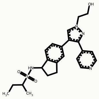 CCC(C)S(=O)(=O)NC1CCc2cc(-c3cn(CCO)nc3-c3ccncc3)ccc21